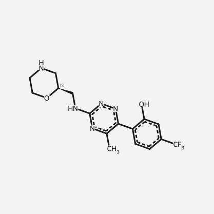 Cc1nc(NC[C@@H]2CNCCO2)nnc1-c1ccc(C(F)(F)F)cc1O